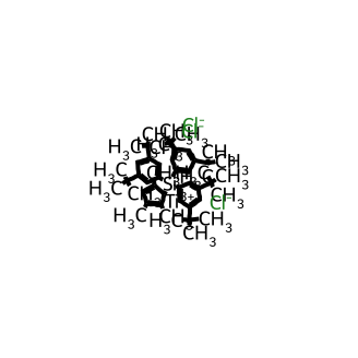 CC1=CC(C)=C(C)[C]1([Ti+3])[Si](c1cc(C(C)(C)C)cc(C(C)(C)C)c1)(c1cc(C(C)(C)C)cc(C(C)(C)C)c1)c1cc(C(C)(C)C)cc(C(C)(C)C)c1.[Cl-].[Cl-].[Cl-]